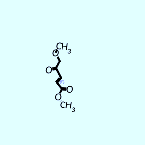 COCC(=O)/C=C/C(=O)OC